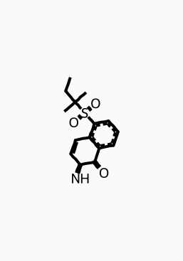 CCC(C)(C)S(=O)(=O)c1cccc2c1C=CC(=N)C2=O